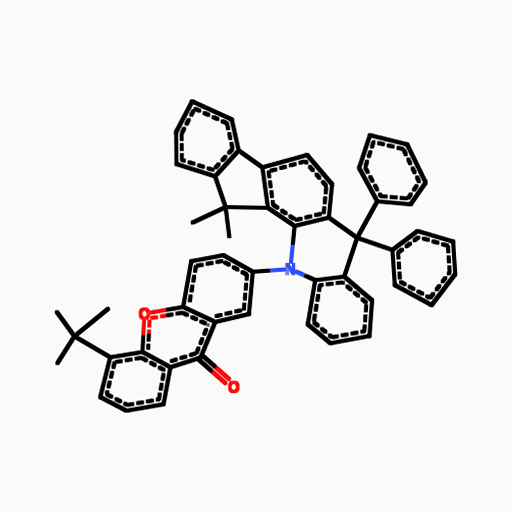 CC(C)(C)c1cccc2c(=O)c3cc(N4c5ccccc5C(c5ccccc5)(c5ccccc5)c5ccc6c(c54)C(C)(C)c4ccccc4-6)ccc3oc12